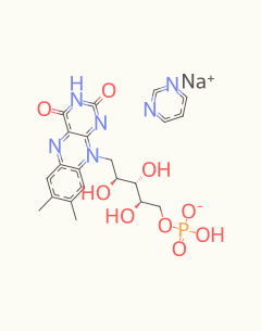 Cc1cc2nc3c(=O)[nH]c(=O)nc-3n(C[C@H](O)[C@H](O)[C@H](O)COP(=O)([O-])O)c2cc1C.[Na+].c1cncnc1